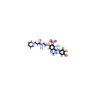 O=C(CCN1CCCCC1)NCCOc1cc2ncnc(Nc3ccc(Br)c(F)c3F)c2cc1[N+](=O)[O-]